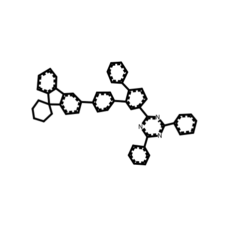 c1ccc(-c2nc(-c3ccccc3)nc(-c3ccc(-c4ccccc4)c(-c4ccc(-c5ccc6c(c5)-c5ccccc5C65CCCCC5)cc4)c3)n2)cc1